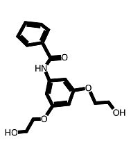 O=C(Nc1cc(OCCO)cc(OCCO)c1)c1ccccc1